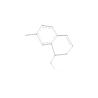 Cc1ccc2c(c1)C(CC#N)CC=C2